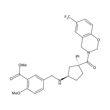 COC(=O)c1cc(CN[C@@H]2CC[C@@](C(=O)N3COc4ccc(C(F)(F)F)cc4C3)(C(C)C)C2)ccc1OC